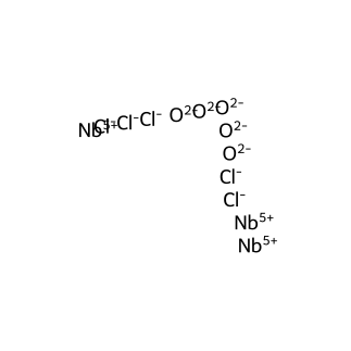 [Cl-].[Cl-].[Cl-].[Cl-].[Cl-].[Nb+5].[Nb+5].[Nb+5].[O-2].[O-2].[O-2].[O-2].[O-2]